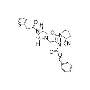 N#C[C@@H]1CCCN1C(=O)[C@H](CN1C[C@@H]2C[C@H]1CN2C(=O)Cc1cccs1)NC(=O)OCc1ccccc1